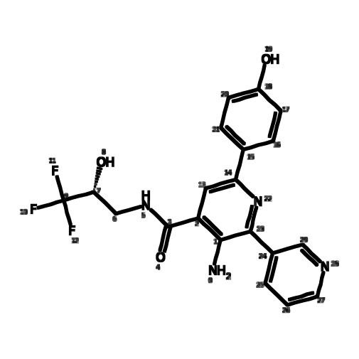 Nc1c(C(=O)NC[C@@H](O)C(F)(F)F)cc(-c2ccc(O)cc2)nc1-c1cccnc1